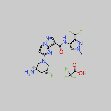 Cn1cc(NC(=O)c2cnn3ccc(N4C[C@@H](N)C[C@@H](F)C4)nc23)c(C(F)F)n1.O=C(O)C(F)(F)F